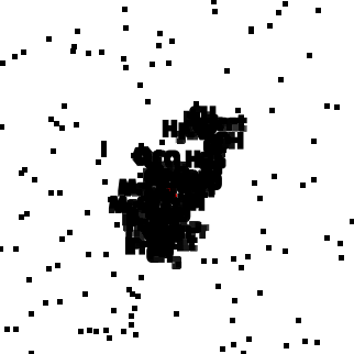 CCCCCC(C)(NC(=O)CCP(=O)(O)CCSC1CC(=O)N(CCC(=O)N[C@H]2C(=O)N[C@H](C(=O)Nc3ccc(COC(=O)N(C)[C@H](C(=O)N[C@H](C(=O)N(C)[C@@H](C(C)CC)C(CC(=O)N4CCC[C@H]4[C@H](OC)[C@@H](C)C(=O)N[C@@H](Cc4ccccc4)C(=O)O)OC)C(C)C)C(C)C)c(C(CCC)C(CC)CC)c3)CCCN(C(N)=O)C2C)C1=O)N(C)I